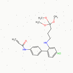 C=CC(=O)Nc1ccc(-c2ccccc2NCCC[Si](OC)(OC)OC)cc1.Cl